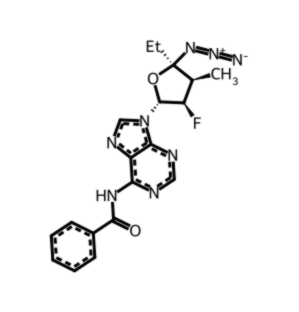 CC[C@@]1(N=[N+]=[N-])O[C@@H](n2cnc3c(NC(=O)c4ccccc4)ncnc32)[C@H](F)[C@@H]1C